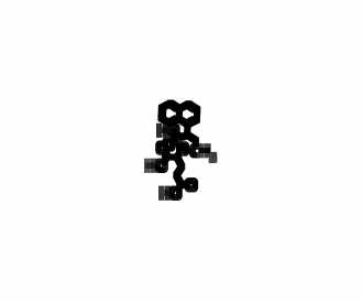 CCC(c1cccc2ccccc12)P(=O)(O)OC(CCC(=O)O)C(=O)O